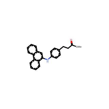 COC(=O)CCc1ccc(Nc2cc3ccccc3c3ccccc23)cc1